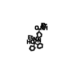 CCn1c(C(O)(c2ccccc2)c2ccccc2)nc2ccc(C(=O)NC(C)C)cc21